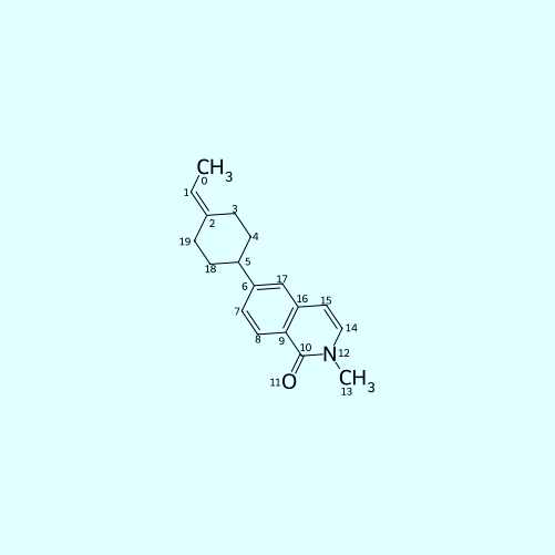 CC=C1CCC(c2ccc3c(=O)n(C)ccc3c2)CC1